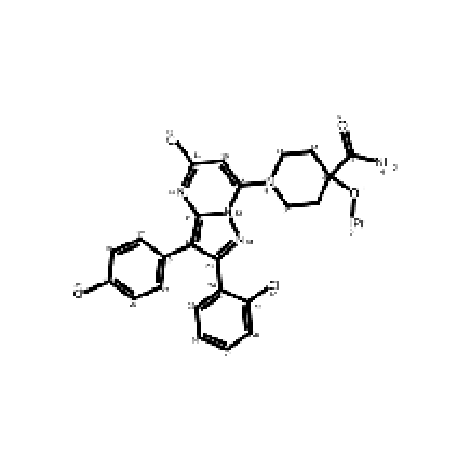 CC(C)OC1(C(N)=O)CCN(c2cc(Cl)nc3c(-c4ccc(Cl)cc4)c(-c4ccccc4Cl)nn23)CC1